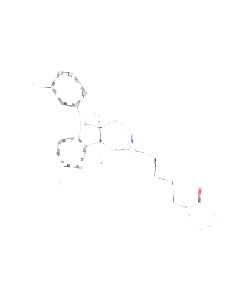 O=C1CCCCN1CCCCN1CC[C@@H]2[C@@H](C1)c1cc(F)ccc1N2c1cccc(F)c1